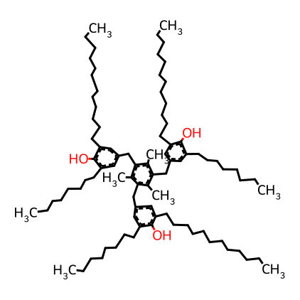 CCCCCCCCCCCCc1cc(Cc2c(C)c(Cc3cc(CCCCCCCC)c(O)c(CCCCCCCCCCCC)c3)c(C)c(Cc3cc(CCCCCCCC)c(O)c(CCCCCCCCCCCC)c3)c2C)cc(CCCCCCCC)c1O